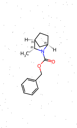 C[C@@H]1[C@H]2CC[C@H](C2)N1C(=O)OCc1ccccc1